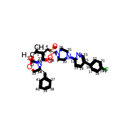 CC(C)[C@@H](CS(=O)(=O)N1CCN(c2ccc(-c3ccc(F)cc3)cn2)CC1)C(=O)N1C(=O)OC[C@H]1Cc1ccccc1